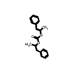 CC(Cc1ccccc1)OC(=O)OC(C)Cc1ccccc1